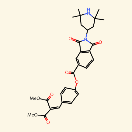 COC(=O)C(=Cc1ccc(OC(=O)c2ccc3c(c2)C(=O)N(C2CC(C)(C)NC(C)(C)C2)C3=O)cc1)C(=O)OC